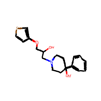 OC(COc1ccsc1)CN1CCC(O)(c2ccccc2)CC1